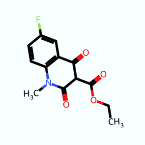 CCOC(=O)C1C(=O)c2cc(F)ccc2N(C)C1=O